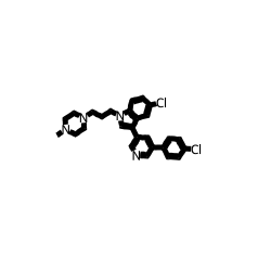 CN1CCN(CCCn2cc(-c3cncc(-c4ccc(Cl)cc4)c3)c3cc(Cl)ccc32)CC1